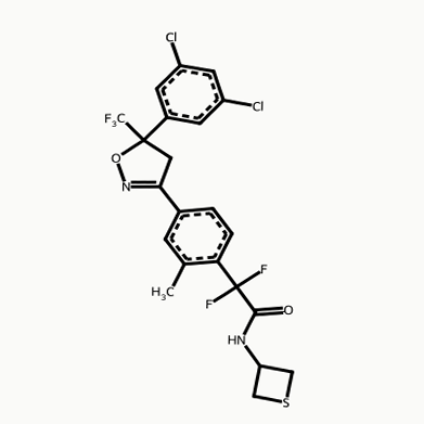 Cc1cc(C2=NOC(c3cc(Cl)cc(Cl)c3)(C(F)(F)F)C2)ccc1C(F)(F)C(=O)NC1CSC1